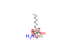 CCCCCCCCC(=O)C(CC)(C(=O)O)S(N)(=O)=O